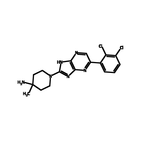 CC1(N)CCN(c2nc3nc(-c4cccc(Cl)c4Cl)cnc3[nH]2)CC1